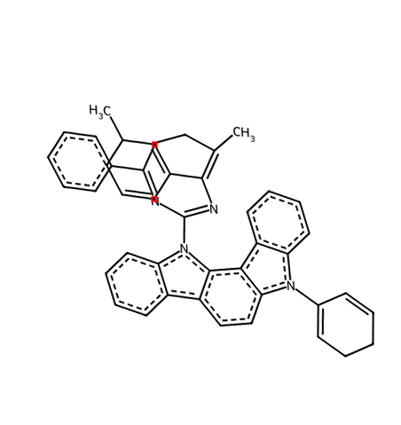 C\C1=C(C2=CC(C)CC=C2)/N=C(n2c3ccccc3c3ccc4c(c5ccccc5n4C4=CCCC=C4)c32)\N=C(\c2ccccc2)CC1